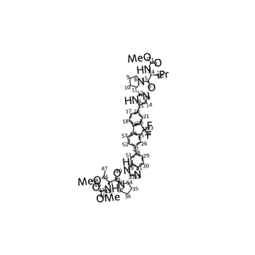 COC(=O)N[C@H](C(=O)N1CCC[C@H]1c1ncc(-c2ccc3c(c2)C(F)(F)c2cc(-c4ccc5nc([C@@H]6CCCN6C(=O)[C@@H](NC(=O)OC)[C@@H](C)OC)[nH]c5c4)ccc2-3)[nH]1)C(C)C